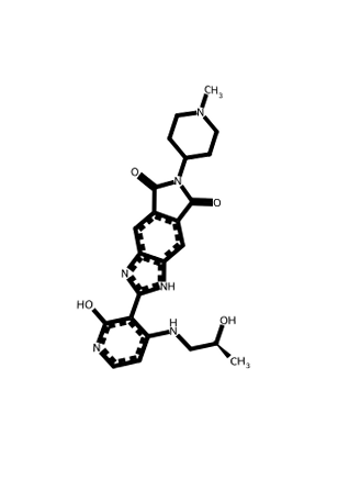 C[C@H](O)CNc1ccnc(O)c1-c1nc2cc3c(cc2[nH]1)C(=O)N(C1CCN(C)CC1)C3=O